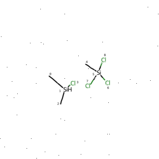 C[SiH](C)Cl.C[Si](Cl)(Cl)Cl